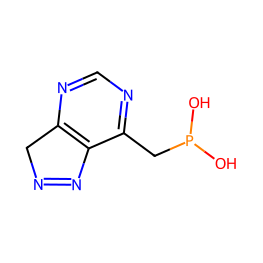 OP(O)Cc1ncnc2c1N=NC2